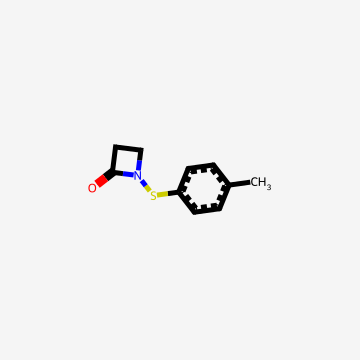 Cc1ccc(SN2CCC2=O)cc1